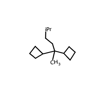 CC(C)CCC(C)(C1CCC1)C1CCC1